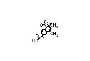 CC(=O)Oc1ccc2c(c1)C(C)=CC(C)(C)N2C(C)=O